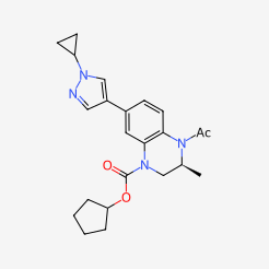 CC(=O)N1c2ccc(-c3cnn(C4CC4)c3)cc2N(C(=O)OC2CCCC2)C[C@@H]1C